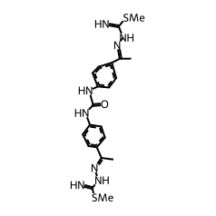 CSC(=N)N/N=C(\C)c1ccc(NC(=O)Nc2ccc(/C(C)=N/NC(=N)SC)cc2)cc1